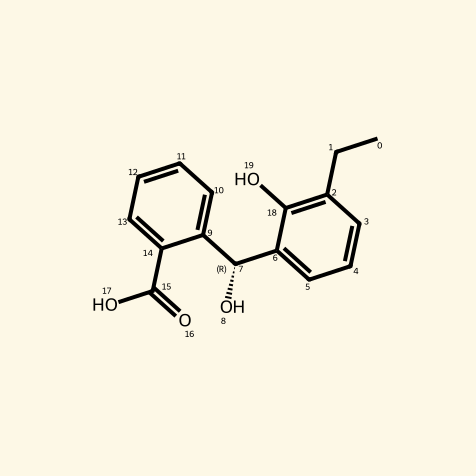 CCc1cccc([C@H](O)c2ccccc2C(=O)O)c1O